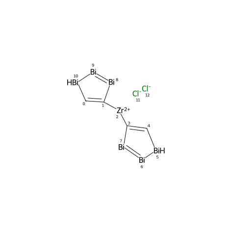 [CH]1=[C]([Zr+2][C]2=[CH][BiH][Bi]=[Bi]2)[Bi]=[Bi][BiH]1.[Cl-].[Cl-]